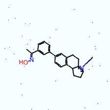 CC(=NO)c1cccc(-c2ccc3c(c2)CCC24CN(C)CC2CCC34)c1